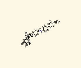 CCCC1CCC(C2CCC(/C=C/C3CCC(OCC(F)(F)Oc4cc(F)c(F)c(F)c4)CC3)CC2)CC1